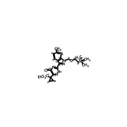 CCOC(=O)C1(c2nnc(-c3nn(COCC[Si](C)(C)C)c4nc(C)ccc34)nc2Cl)CC1